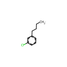 [CH2]CCCc1cccc(Cl)c1